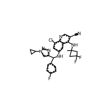 CC1(Nc2c(C#N)cnc3c(Cl)cc(NC(c4ccc(F)cc4)c4cn(C5CC5)nn4)cc23)CC(F)(F)C1